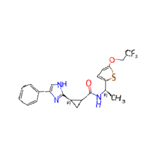 C[C@@H](NC(=O)C1C[C@H]1c1nc(-c2ccccc2)c[nH]1)c1ccc(OCC(F)(F)F)s1